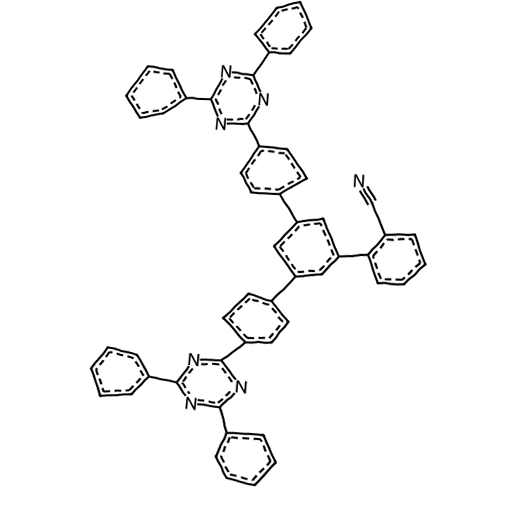 N#Cc1ccccc1-c1cc(-c2ccc(-c3nc(-c4ccccc4)nc(-c4ccccc4)n3)cc2)cc(-c2ccc(-c3nc(-c4ccccc4)nc(-c4ccccc4)n3)cc2)c1